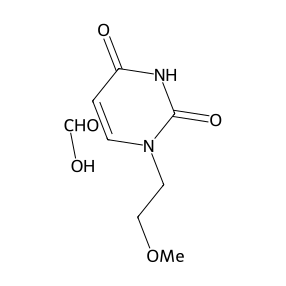 COCCn1ccc(=O)[nH]c1=O.O=CO